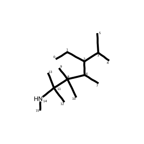 CCC(C(C)C)C(C)C(C)(C)C(C)(C)NC